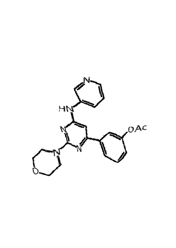 CC(=O)Oc1cccc(-c2cc(Nc3cccnc3)nc(N3CCOCC3)n2)c1